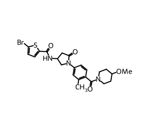 COC1CCN(C(=O)c2ccc(N3CC(NC(=O)c4ccc(Br)s4)CC3=O)cc2C)CC1